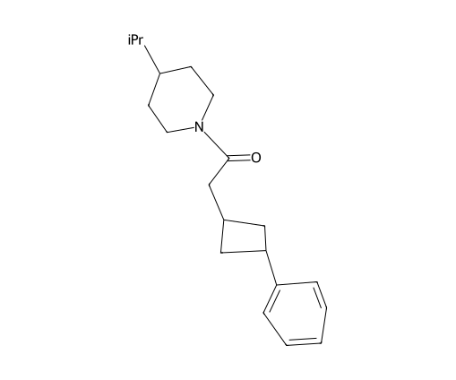 CC(C)C1CCN(C(=O)CC2CC(c3ccccc3)C2)CC1